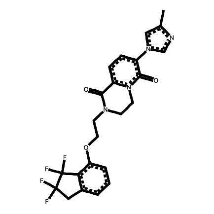 Cc1cn(-c2ccc3n(c2=O)CCN(CCOc2cccc4c2C(F)(F)C(F)(F)C4)C3=O)cn1